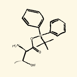 C[C@@H](O)[C@@H](N)C(=O)O[Si](c1ccccc1)(c1ccccc1)C(C)(C)C